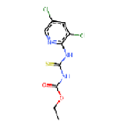 CCOC(=O)NC(=S)Nc1ncc(Cl)cc1Cl